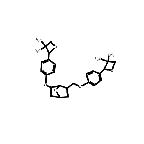 CC1(C)COC1c1ccc(OCC2CC3CC(Oc4ccc(C5OCC5(C)C)cc4)C2O3)cc1